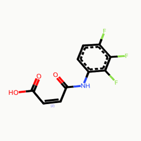 O=C(O)/C=C\C(=O)Nc1ccc(F)c(F)c1F